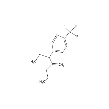 C=C(CCC)C(CC)c1ccc(C(F)(F)F)cc1